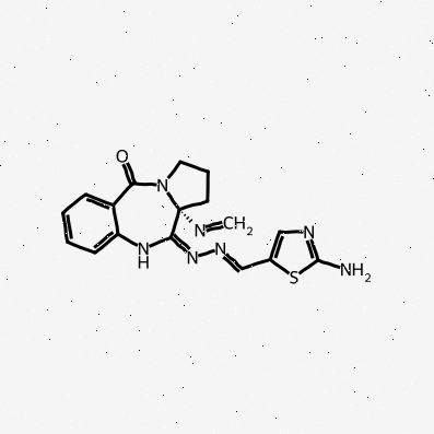 C=N[C@@]12CCCN1C(=O)c1ccccc1N/C2=N/N=Cc1cnc(N)s1